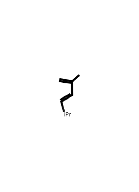 C=C(C)/C=C/C(C)C